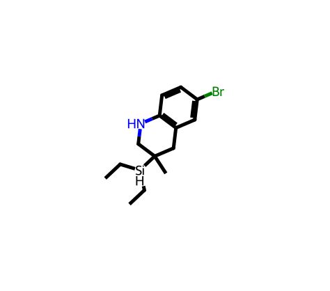 CC[SiH](CC)C1(C)CNc2ccc(Br)cc2C1